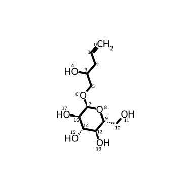 C=CCC(O)CO[C@H]1O[C@H](CO)[C@@H](O)[C@H](O)[C@H]1O